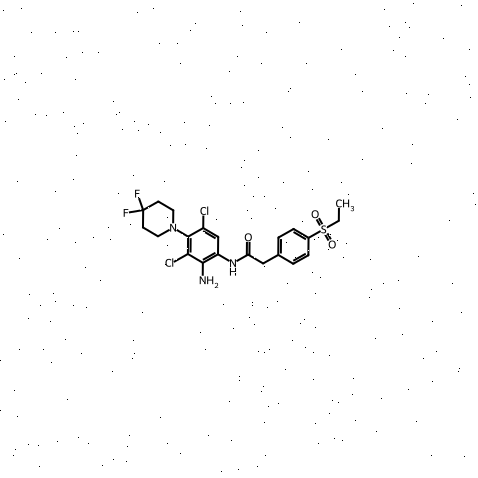 CCS(=O)(=O)c1ccc(CC(=O)Nc2cc(Cl)c(N3CCC(F)(F)CC3)c(Cl)c2N)cc1